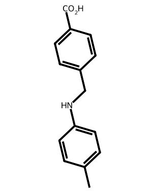 Cc1ccc(NCc2ccc(C(=O)O)cc2)cc1